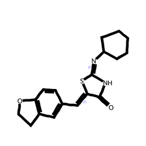 O=C1N/C(=N\C2CCCCC2)S/C1=C\c1ccc2c(c1)CCO2